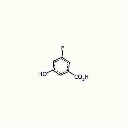 O=C(O)c1cc(O)cc(F)c1